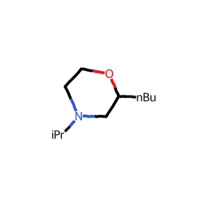 CCCCC1CN(C(C)C)CCO1